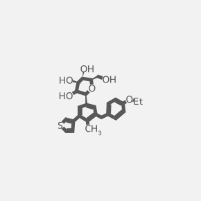 CCOc1ccc(Cc2cc([C@@H]3O[C@H](CO)[C@@H](O)[C@H](O)C3O)cc(-c3ccsc3)c2C)cc1